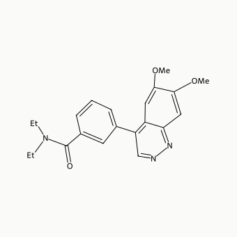 CCN(CC)C(=O)c1cccc(-c2cnnc3cc(OC)c(OC)cc23)c1